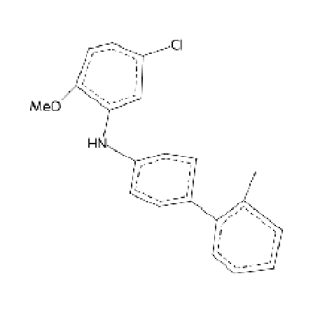 COc1ccc(Cl)cc1Nc1ccc(-c2ccccc2C)cc1